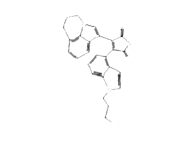 O=C1NC(=O)C(c2cn3c4c(cccc24)CCC3)=C1c1cccc2c1ccn2CCCO